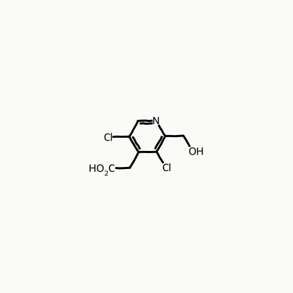 O=C(O)Cc1c(Cl)cnc(CO)c1Cl